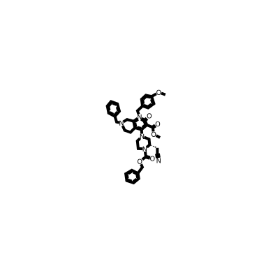 COC(=O)c1c(N2CCN(C(=O)OCc3ccccc3)[C@@H](CC#N)C2)c2c(n(Cc3ccc(OC)cc3)c1=O)CN(Cc1ccccc1)CC2